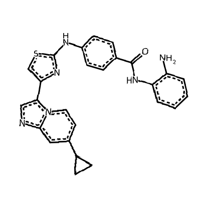 Nc1ccccc1NC(=O)c1ccc(Nc2nc(-c3cnc4cc(C5CC5)ccn34)cs2)cc1